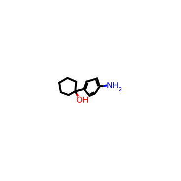 Nc1ccc(C2(O)CCCCC2)cc1